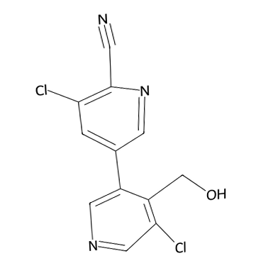 N#Cc1ncc(-c2cncc(Cl)c2CO)cc1Cl